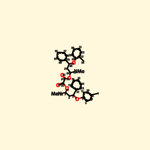 CNC(CC(Oc1ccc(C)cc1)c1ccccc1)OC(=O)C(=O)OC(CC(Oc1ccccc1C)c1ccccc1)NC